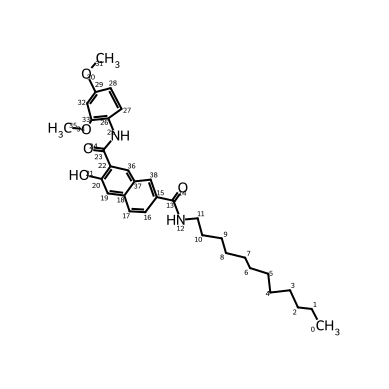 CCCCCCCCCCCCNC(=O)c1ccc2cc(O)c(C(=O)Nc3ccc(OC)cc3OC)cc2c1